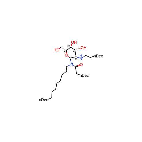 CCCCCCCCCCCCCCCCCCN(C(=O)CCCCCCCCCCC)C1O[C@H](CO)[C@@H](O)[C@H](O)[C@H]1NCCCCCCCCCCCC